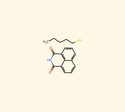 CCCCCS.O=C1NC(=O)c2cccc3cccc1c23